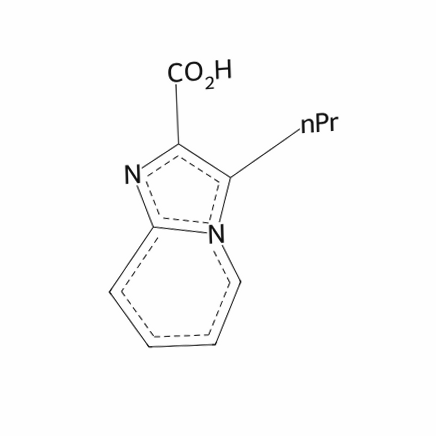 CCCc1c(C(=O)O)nc2ccccn12